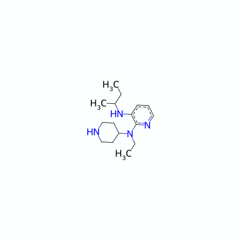 CCC(C)Nc1cccnc1N(CC)C1CCNCC1